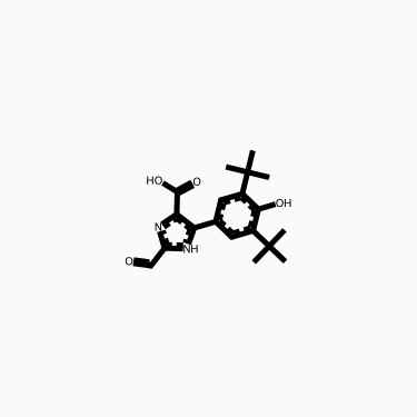 CC(C)(C)c1cc(-c2[nH]c(C=O)nc2C(=O)O)cc(C(C)(C)C)c1O